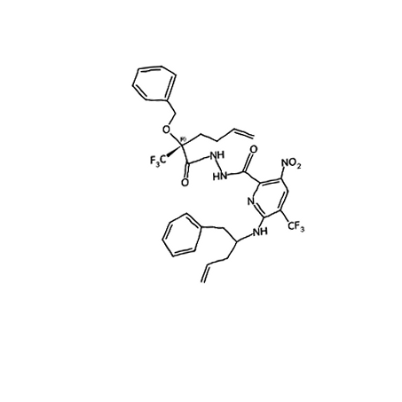 C=CCC[C@@](OCc1ccccc1)(C(=O)NNC(=O)c1nc(NC(CC=C)Cc2ccccc2)c(C(F)(F)F)cc1[N+](=O)[O-])C(F)(F)F